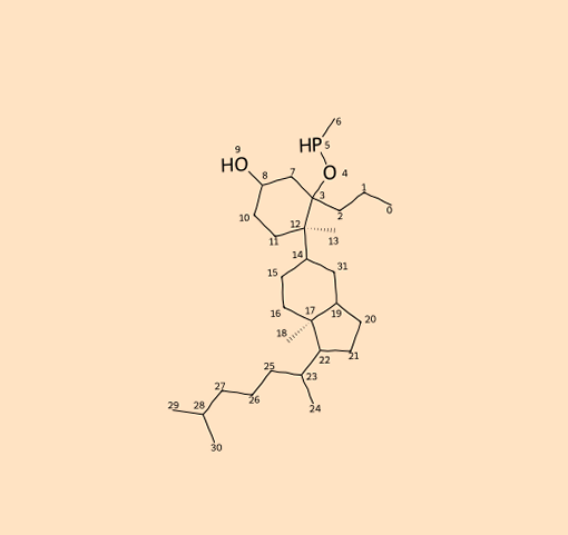 CCCC1(OPC)CC(O)CC[C@]1(C)C1CC[C@@]2(C)C(CCC2C(C)CCCC(C)C)C1